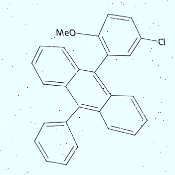 COc1ccc(Cl)cc1-c1c2ccccc2c(-c2ccccc2)c2ccccc12